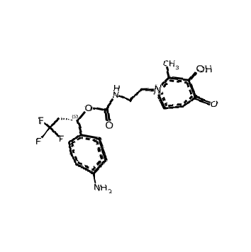 Cc1c(O)c(=O)ccn1CCNC(=O)O[C@@H](CC(F)(F)F)c1ccc(N)cc1